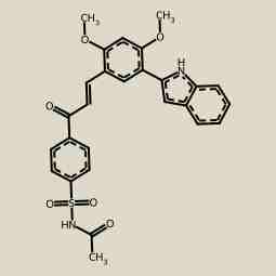 COc1cc(OC)c(-c2cc3ccccc3[nH]2)cc1C=CC(=O)c1ccc(S(=O)(=O)NC(C)=O)cc1